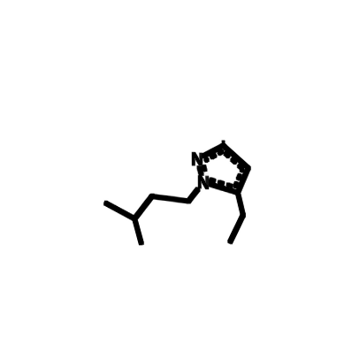 CCc1c[c]nn1CCC(C)C